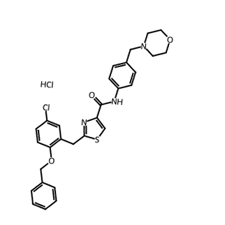 Cl.O=C(Nc1ccc(CN2CCOCC2)cc1)c1csc(Cc2cc(Cl)ccc2OCc2ccccc2)n1